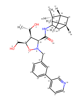 C[C@H](O)[C@@H]1[C@H](CO)ON(Cc2cccc(-c3cccnc3)c2)[C@@H]1C(=O)NC1C[C@H]2C[C@@H]([C@@H]1C)C2(C)C